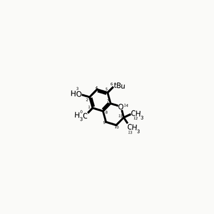 Cc1c(O)cc(C(C)(C)C)c2c1CCC(C)(C)O2